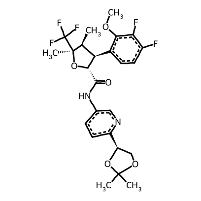 COc1c([C@H]2[C@H](C(=O)Nc3ccc([C@H]4COC(C)(C)O4)nc3)O[C@@](C)(C(F)(F)F)[C@H]2C)ccc(F)c1F